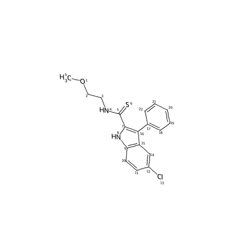 COCCNC(=S)c1[nH]c2ccc(Cl)cc2c1-c1ccccc1